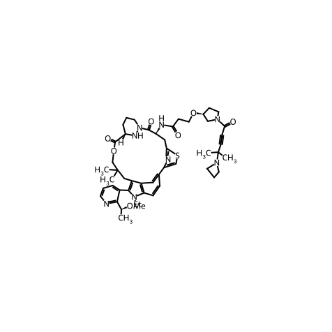 CCn1c(-c2cccnc2[C@H](C)OC)c2c3cc(ccc31)-c1csc(n1)C[C@H](NC(=O)CCO[C@H]1CCN(C(=O)C#CC(C)(C)N3CCC3)C1)C(=O)N1CCC[C@H](N1)C(=O)OCC(C)(C)C2